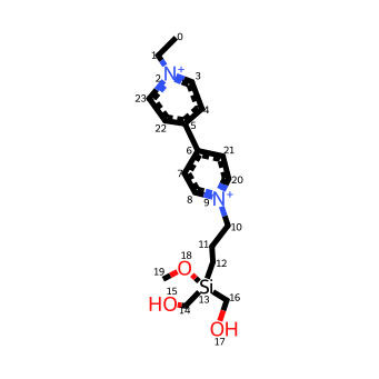 CC[n+]1ccc(-c2cc[n+](CCC[Si](CO)(CO)OC)cc2)cc1